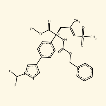 CC(=CS(C)(=O)=O)C[C@](NC(=O)OCc1ccccc1)(C(=O)OC(C)C)c1ccc(-c2cnn(C(F)F)c2)cc1